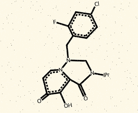 CC(C)N1CN(Cc2ccc(Cl)cc2F)n2ccc(=O)c(O)c2C1=O